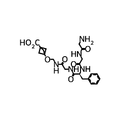 NCC(=O)NCC(=O)N[C@@H](Cc1ccccc1)C(=O)NCC(=O)NCOC12CC(C(=O)O)(C1)C2